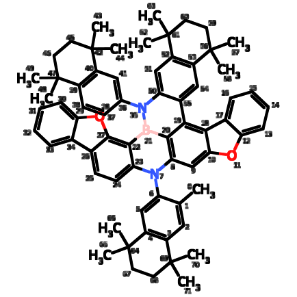 Cc1cc2c(cc1N1c3cc4oc5ccccc5c4c4c3B(c3c1ccc1c3oc3ccccc31)N(c1ccc3c(c1)C(C)(C)CCC3(C)C)c1cc3c(cc1-4)C(C)(C)CCC3(C)C)C(C)(C)CCC2(C)C